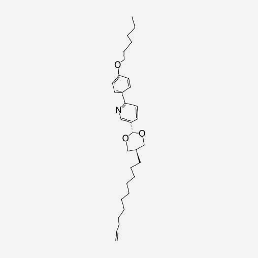 C=CCCCCCCCCC[C@H]1CO[C@H](c2ccc(-c3ccc(OCCCCCC)cc3)nc2)OC1